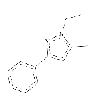 CCn1nc(-c2ccccc2)cc1I